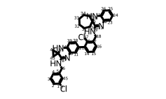 Clc1cccc(CNC2=Nc3cc(-c4cccc(CNC5=Nc6ccccc6NC56CCCCCC6)c4Cl)ccc3NC23CC3)c1